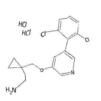 Cl.Cl.NCC1(COc2cncc(-c3c(Cl)cccc3Cl)c2)CC1